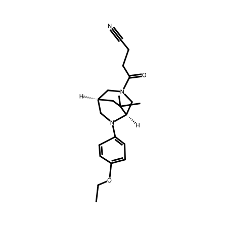 CCOc1ccc(N2C[C@H]3CN(C(=O)CCC#N)C[C@@H]2C(C)(C)C3)cc1